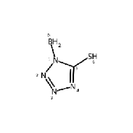 Bn1nnnc1S